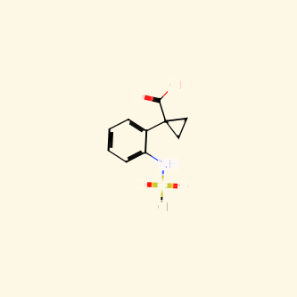 CS(=O)(=O)Nc1ccccc1C1(C(=O)O)CC1